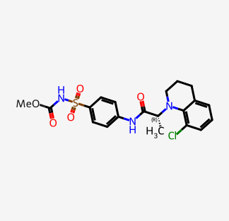 COC(=O)NS(=O)(=O)c1ccc(NC(=O)[C@@H](C)N2CCCc3cccc(Cl)c32)cc1